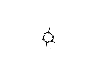 CSc1ccc(OC(C)=O)cc1Br